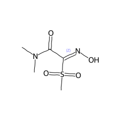 CN(C)C(=O)/C(=N/O)S(C)(=O)=O